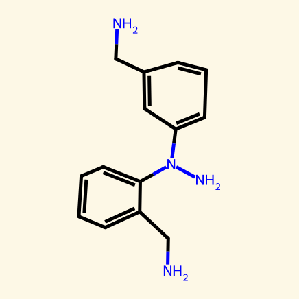 NCc1cccc(N(N)c2ccccc2CN)c1